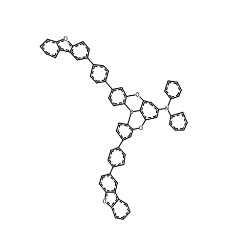 c1ccc(N(c2ccccc2)c2cc3c4c(c2)Oc2cc(-c5ccc(-c6ccc7oc8ccccc8c7c6)cc5)ccc2B4c2ccc(-c4ccc(-c5ccc6oc7ccccc7c6c5)cc4)cc2O3)cc1